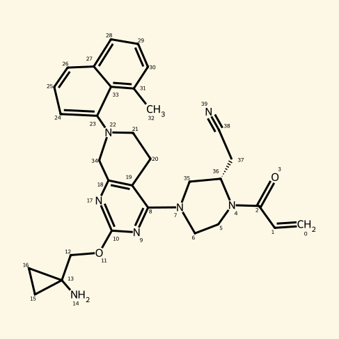 C=CC(=O)N1CCN(c2nc(OCC3(N)CC3)nc3c2CCN(c2cccc4cccc(C)c24)C3)C[C@@H]1CC#N